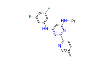 C=C/C=C\C(=N/NC)c1nc(Nc2cc(F)cc(F)c2)cc(NC(C)C)n1